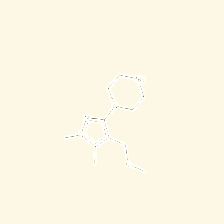 COCc1c(N2CCNCC2)nn(C)c1C